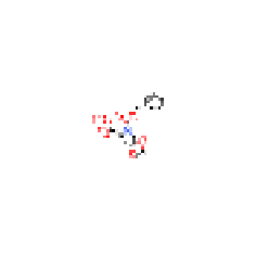 C[C@H]1OC2(C[C@@H](C(=O)O)N(C(=O)OCc3ccccc3)C2)O[C@@H]1C